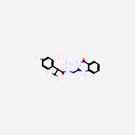 O=C(NCc1nc2ccccc2c(=O)[nH]1)[C@@](O)(c1ccc(F)cc1)C(F)(F)F